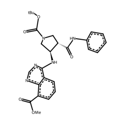 COC(=O)c1cccc2c(N[C@H]3CN(C(=O)OC(C)(C)C)C[C@@H]3C(=O)Nc3ccccc3)ncnc12